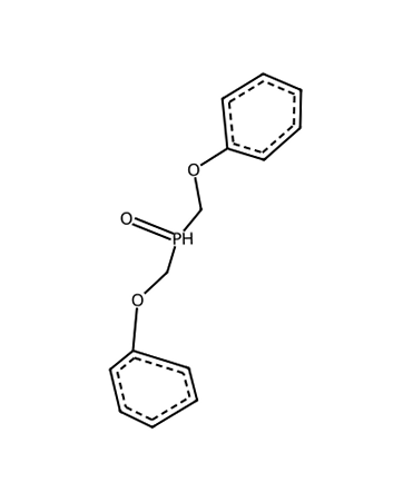 O=[PH](COc1ccccc1)COc1ccccc1